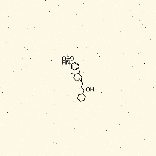 CC1CN(CC[C@H](O)C2CCCCC2)CCC1(C)c1cccc(NS(C)(=O)=O)c1